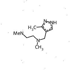 CNCCN(C)Cc1c[nH]nc1C